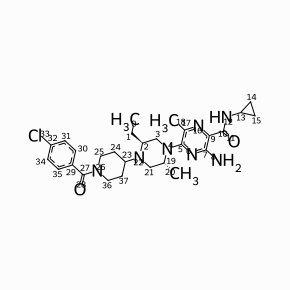 CC[C@H]1CN(c2nc(N)c(C(=O)NC3CC3)nc2C)[C@H](C)CN1C1CCN(C(=O)c2ccc(Cl)cc2)CC1